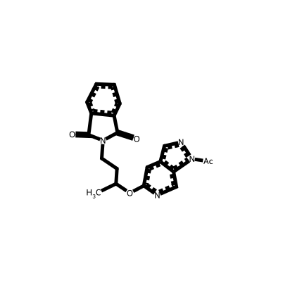 CC(=O)n1ncc2cc(OC(C)CCN3C(=O)c4ccccc4C3=O)ncc21